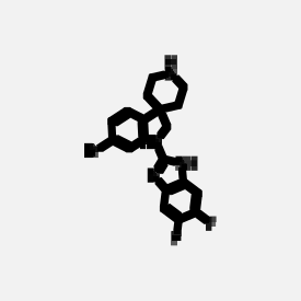 Fc1cc2nc(NCC3(c4ccc(Br)cc4)CCNCC3)[nH]c2cc1F